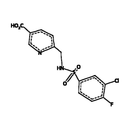 O=C(O)c1ccc(CNS(=O)(=O)c2ccc(F)c(Cl)c2)nc1